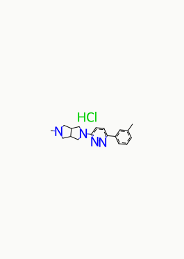 Cc1cccc(-c2ccc(N3CC4CN(C)CC4C3)nn2)c1.Cl